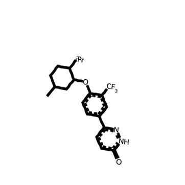 CC1CCC(C(C)C)C(Oc2ccc(-c3ccc(=O)[nH]n3)cc2C(F)(F)F)C1